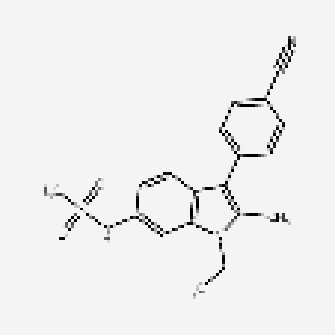 CCn1c(C)c(-c2ccc(C#N)cc2)c2ccc(NS(C)(=O)=O)cc21